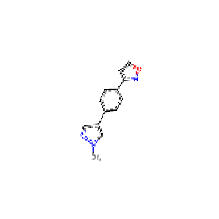 Cn1cc(-c2ccc(-c3ccon3)cc2)cn1